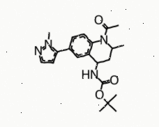 CC(=O)N1c2ccc(-c3ccnn3C)cc2C(NC(=O)OC(C)(C)C)CC1C